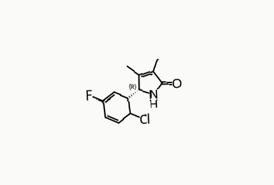 CC1=C(C)[C@@H](C2C=C(F)C=CC2Cl)NC1=O